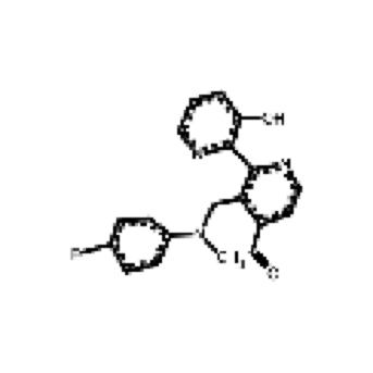 CN(Cc1c(C=O)ccnc1-c1ncccc1O)c1ccc(F)cc1